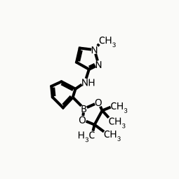 Cn1ccc(Nc2ccccc2B2OC(C)(C)C(C)(C)O2)n1